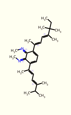 CCC(C)(C)/C(C)=C/C=C(\C)C1=CC=C(/C(C)=C/C=C(\C)C(C)C)C(=N/C)/C1=N\C